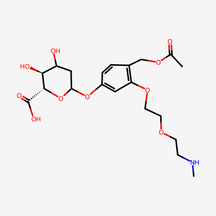 CNCCOCCOc1cc(OC2CC(O)[C@H](O)[C@@H](C(=O)O)O2)ccc1COC(C)=O